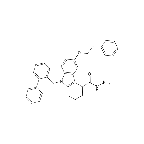 NNC(=O)C1CCCc2c1c1cc(OCCc3ccccc3)ccc1n2Cc1ccccc1-c1ccccc1